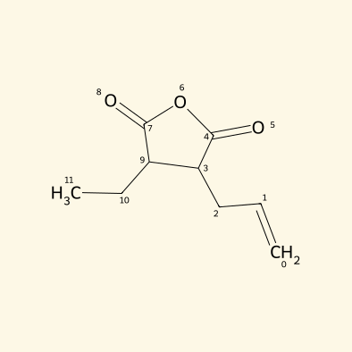 C=CCC1C(=O)OC(=O)C1CC